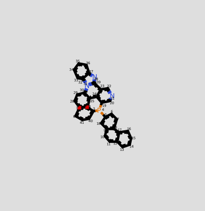 c1ccc(P(c2ccc3c(ccc4ccccc43)c2)c2cncc3c2c2ccccc2n2c4ccccc4nc32)cc1